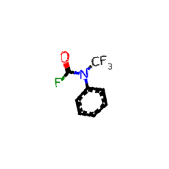 O=C(F)N(c1ccccc1)C(F)(F)F